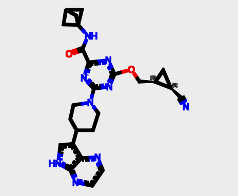 N#C[C@@H]1C[C@@H]1COc1nc(C(=O)NC23CC(C2)C3)nc(N2CCC(c3c[nH]c4nccnc34)CC2)n1